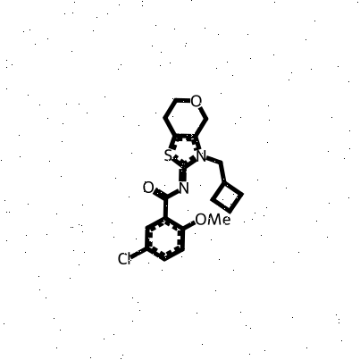 COc1ccc(Cl)cc1C(=O)N=c1sc2c(n1CC1CCC1)COCC2